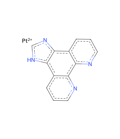 [Pt+2].c1cnc2c(c1)c1nc[nH]c1c1cccnc12